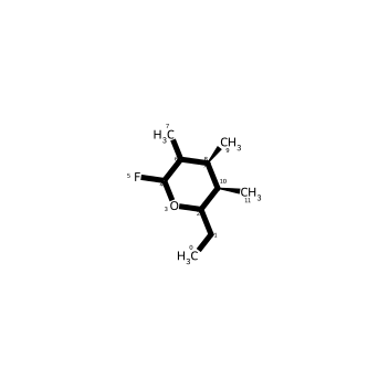 CCC1OC(F)C(C)[C@@H](C)[C@H]1C